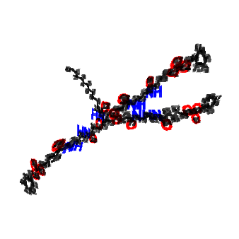 CCCCCCCCCCCC(=O)NC(COCCC(=O)NCCCCNC(=O)CCCCOC(=O)OCc1ccccc1)(COCCC(=O)NCCCNC(=O)CCCCOC(=O)OCc1ccccc1)COCCC(=O)NCCCNC(=O)CCCCOC(=O)OCc1ccccc1